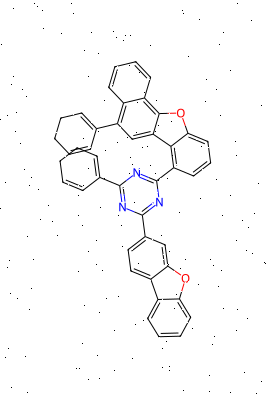 C1=CC(c2nc(-c3ccc4c(c3)oc3ccccc34)nc(-c3cccc4oc5c6ccccc6c(C6=CCCC=C6)cc5c34)n2)=CCC1